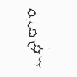 COc1cc2c(Oc3ccc(CC(=O)Nc4cccc(F)c4)cc3)ccnc2cc1OCCC(N)C(=O)O